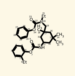 CCc1ccccc1OC(=O)NC1CC(C)(C)CC(C)(CN(CC)C(=O)Oc2ccccc2)C1